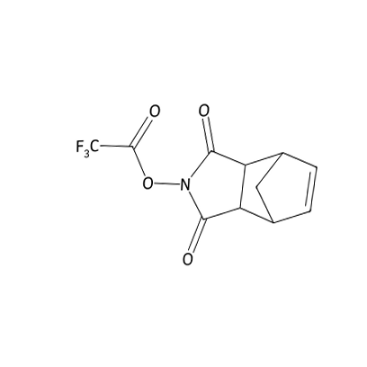 O=C1C2C3C=CC(C3)C2C(=O)N1OC(=O)C(F)(F)F